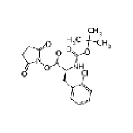 CC(C)(C)OC(=O)N[C@@H](Cc1ccccc1Cl)C(=O)ON1C(=O)CCC1=O